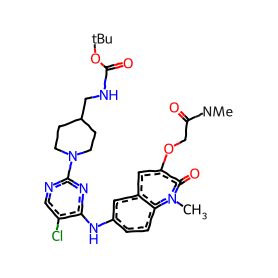 CNC(=O)COc1cc2cc(Nc3nc(N4CCC(CNC(=O)OC(C)(C)C)CC4)ncc3Cl)ccc2n(C)c1=O